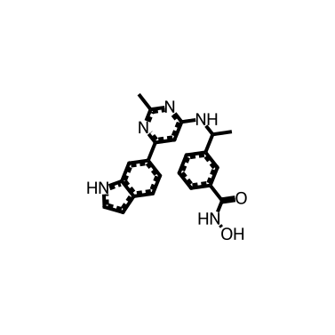 Cc1nc(NC(C)c2cccc(C(=O)NO)c2)cc(-c2ccc3cc[nH]c3c2)n1